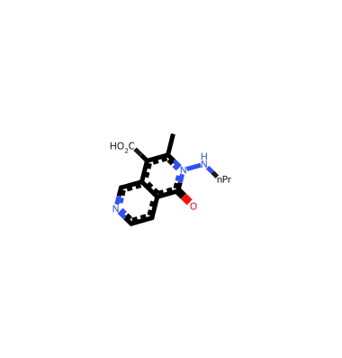 CCCNn1c(C)c(C(=O)O)c2cnccc2c1=O